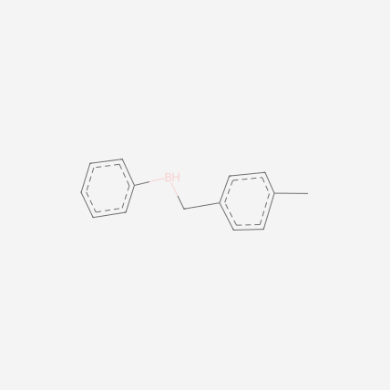 Cc1ccc(CBc2ccccc2)cc1